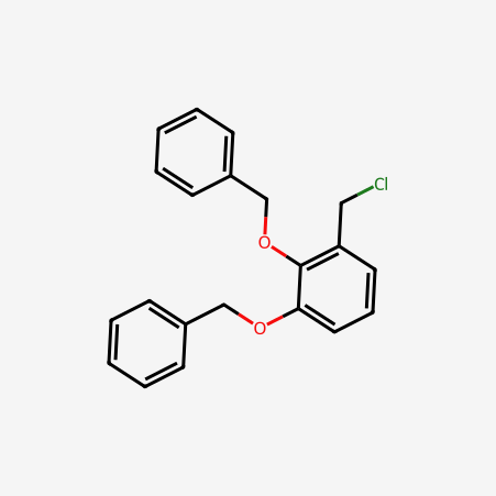 ClCc1cccc(OCc2ccccc2)c1OCc1ccccc1